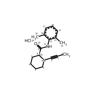 CC#CN1CCCC[C@H]1C(=O)Nc1c(C)cccc1C.Cl